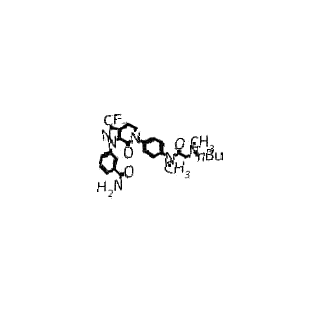 CCCCN(C)CC(=O)N(C)c1ccc(N2CCc3c(C(F)(F)F)nn(-c4cccc(C(N)=O)c4)c3C2=O)cc1